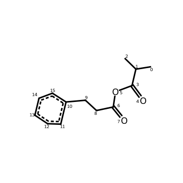 CC(C)C(=O)OC(=O)CCc1ccccc1